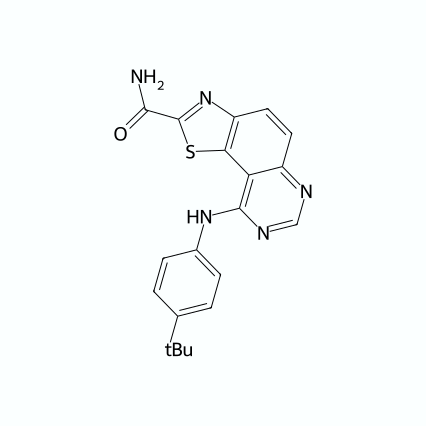 CC(C)(C)c1ccc(Nc2ncnc3ccc4nc(C(N)=O)sc4c23)cc1